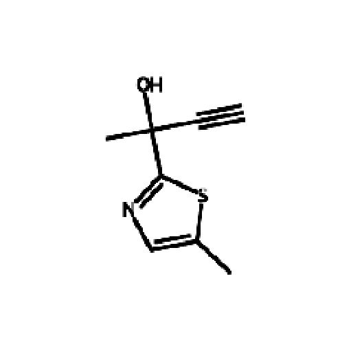 C#CC(C)(O)c1ncc(C)s1